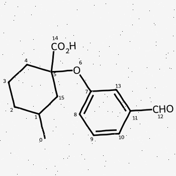 CC1CCCC(Oc2cccc(C=O)c2)(C(=O)O)C1